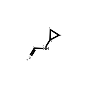 S=[C]NC1CC1